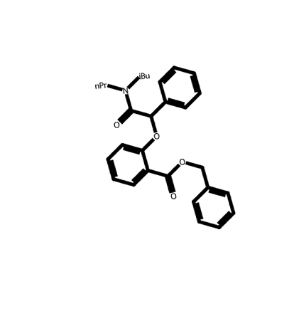 CCCN(C(=O)C(Oc1ccccc1C(=O)OCc1ccccc1)c1ccccc1)C(C)CC